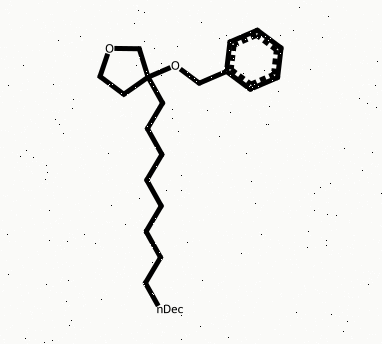 CCCCCCCCCCCCCCCCCCC1(OCc2ccccc2)CCOC1